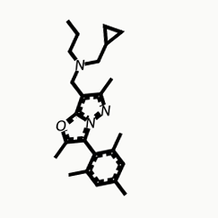 CCCN(Cc1c(C)nn2c(-c3c(C)cc(C)cc3C)c(C)oc12)CC1CC1